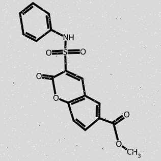 COC(=O)c1ccc2oc(=O)c(S(=O)(=O)Nc3ccccc3)cc2c1